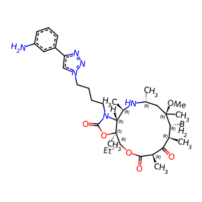 B[C@@H]1[C@@H](C)C(=O)[C@@H](C)C(=O)O[C@H](CC)[C@@]2(C)OC(=O)N(CCCCn3cc(-c4cccc(N)c4)nn3)[C@@H]2[C@@H](C)N[C@H](C)C[C@@]1(C)OC